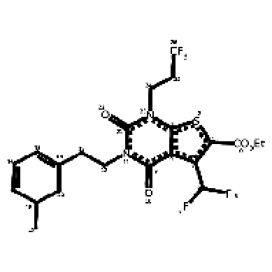 CCOC(=O)c1sc2c(c1C(F)F)c(=O)n(CCC1=CC=CC(C)C1)c(=O)n2CCC(F)(F)F